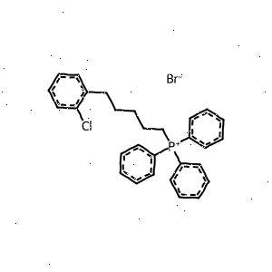 Clc1ccccc1CCCCC[P+](c1ccccc1)(c1ccccc1)c1ccccc1.[Br-]